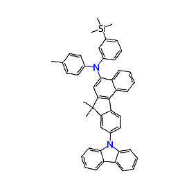 Cc1ccc(N(c2cccc([Si](C)(C)C)c2)c2cc3c(c4ccccc24)-c2ccc(-n4c5ccccc5c5ccccc54)cc2C3(C)C)cc1